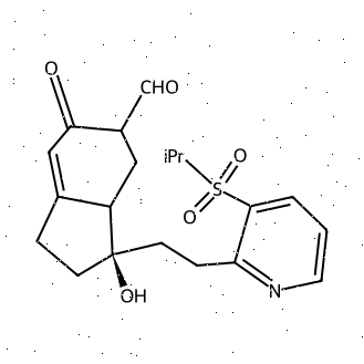 CC(C)S(=O)(=O)c1cccnc1CC[C@]1(O)CCC2=CC(=O)C(C=O)CC21